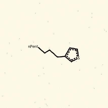 CCCCCCCCc1[c]scc1